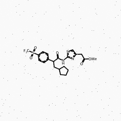 COC(=O)Cc1csc(NC(=O)C(CC2CCCC2)c2ccc(S(=O)(=O)C(F)(F)F)cc2)n1